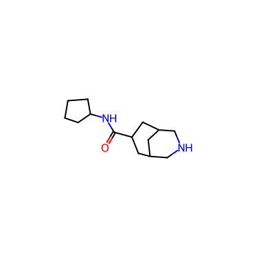 O=C(NC1CCCC1)C1CC2CNCC(C2)C1